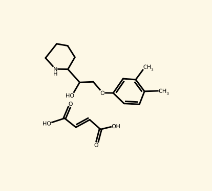 Cc1ccc(OCC(O)C2CCCCN2)cc1C.O=C(O)C=CC(=O)O